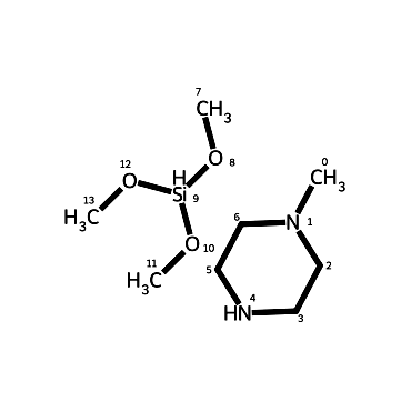 CN1CCNCC1.CO[SiH](OC)OC